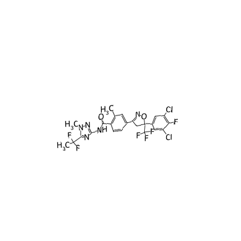 Cc1cc(C2=NOC(c3cc(Cl)c(F)c(Cl)c3)(C(F)(F)F)C2)ccc1C(=O)Nc1nc(C(C)(F)F)n(C)n1